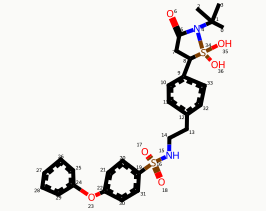 CC(C)(C)N1C(=O)CC(c2ccc(CCNS(=O)(=O)c3ccc(Oc4ccccc4)cc3)cc2)S1(O)O